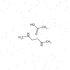 CC(=O)O.CNCCNC